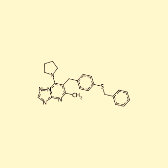 Cc1nc2ncnn2c(N2CCCC2)c1Cc1ccc(SCc2ccccc2)cc1